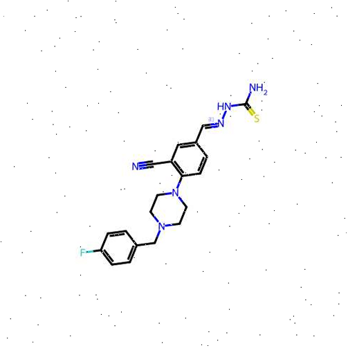 N#Cc1cc(/C=N/NC(N)=S)ccc1N1CCN(Cc2ccc(F)cc2)CC1